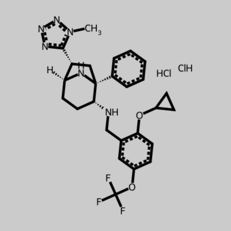 Cl.Cl.Cn1nnnc1[C@@H]1C[C@]2(c3ccccc3)N[C@H]1CC[C@H]2NCc1cc(OC(F)(F)F)ccc1OC1CC1